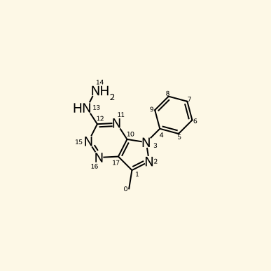 Cc1nn(-c2ccccc2)c2nc(NN)nnc12